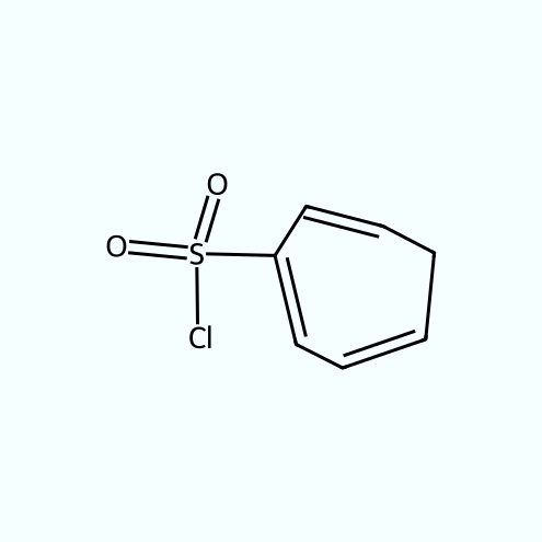 O=S(=O)(Cl)C1=CC=CCC=C1